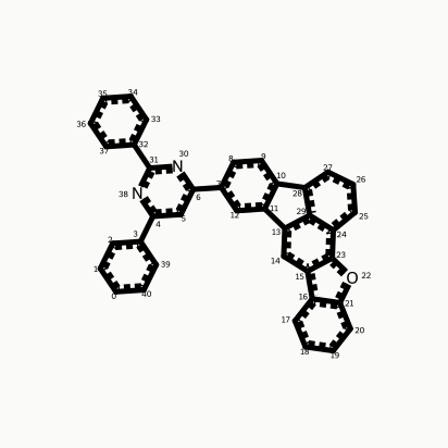 c1ccc(-c2cc(-c3ccc4c(c3)-c3cc5c6ccccc6oc5c5cccc-4c35)nc(-c3ccccc3)n2)cc1